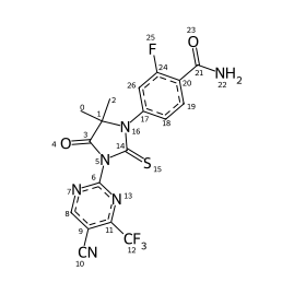 CC1(C)C(=O)N(c2ncc(C#N)c(C(F)(F)F)n2)C(=S)N1c1ccc(C(N)=O)c(F)c1